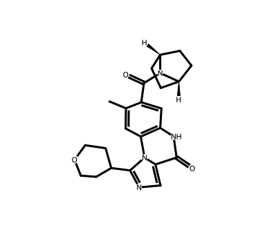 Cc1cc2c(cc1C(=O)N1[C@H]3CC[C@@H]1CC3)[nH]c(=O)c1cnc(C3CCOCC3)n12